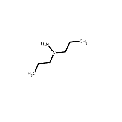 CCCN(N)CCC